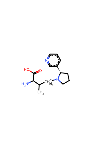 CC(C)C(N)C(=O)O.CN1CCC[C@H]1c1cccnc1